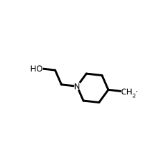 [CH2]C1CCN(CCO)CC1